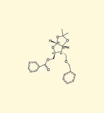 CC1(C)O[C@H]2O[C@H](COC(=O)c3ccccc3)[C@@H](COCc3ccccc3)[C@H]2O1